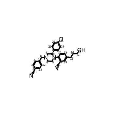 N#Cc1ccc(CN2CCN(c3ccc(CCCO)cc3C#N)[C@H](c3ccc(Cl)cc3)C2)cc1